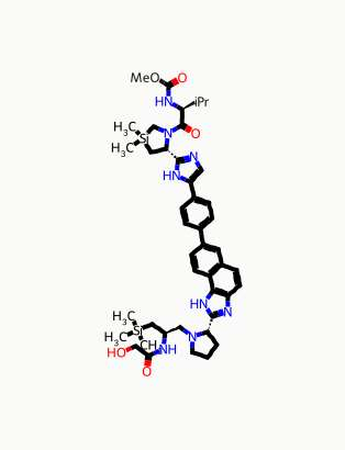 COC(=O)N[C@H](C(=O)N1C[Si](C)(C)C[C@H]1c1ncc(-c2ccc(-c3ccc4c(ccc5nc([C@@H]6CCCN6C[C@H](C[Si](C)(C)C)NC(=O)CO)[nH]c54)c3)cc2)[nH]1)C(C)C